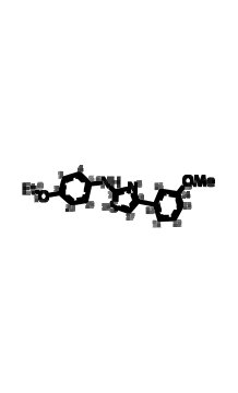 CCOc1ccc(Nc2nc(-c3cccc(OC)c3)cs2)cc1